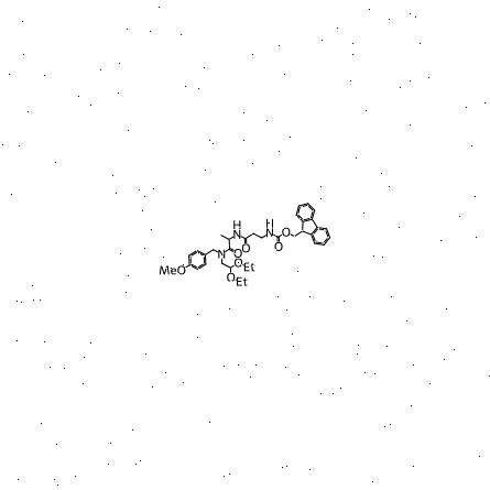 CCOC(CN(Cc1ccc(OC)cc1)C(=O)C(C)NC(=O)CCNC(=O)OCC1c2ccccc2-c2ccccc21)OCC